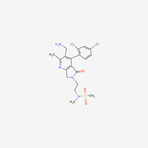 Cc1nc2c(c(-c3ccc(Cl)cc3Cl)c1CN)C(=O)N(CCN(C)S(C)(=O)=O)C2